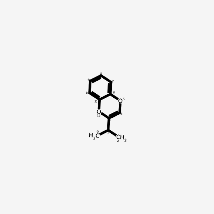 CC(C)C1=COc2ccccc2O1